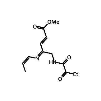 C\C=C/N=C(\C=C\C(=O)OC)CNC(=O)C(=O)CC